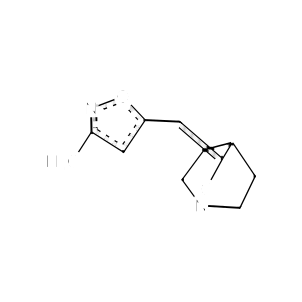 Cc1cc(/C=C2\CN3CCC2CC3)on1